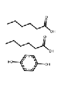 CCCCCC(=O)O.CCCCCC(=O)O.Oc1ccc(O)cc1